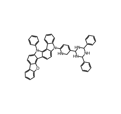 C1=C(C2NC(c3ccccc3)NC(c3ccccc3)N2)CNC(n2c3ccccc3c3c2ccc2c4c5oc6ccccc6c5ccc4n(-c4ccccc4)c23)=C1